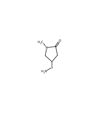 CN1CC(SN)CC1=O